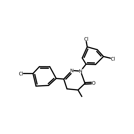 CC1CC(c2ccc(Cl)cc2)=NN(c2cc(Cl)cc(Cl)c2)C1=O